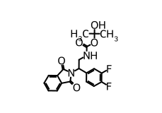 CC(C)(O)OC(=O)NCC(c1ccc(F)c(F)c1)N1C(=O)c2ccccc2C1=O